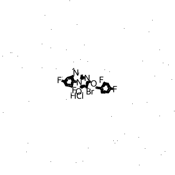 Cc1nc(OCc2ccc(F)cc2F)c(Br)c(=O)n1-c1c(F)cc(F)cc1N(C)C.Cl